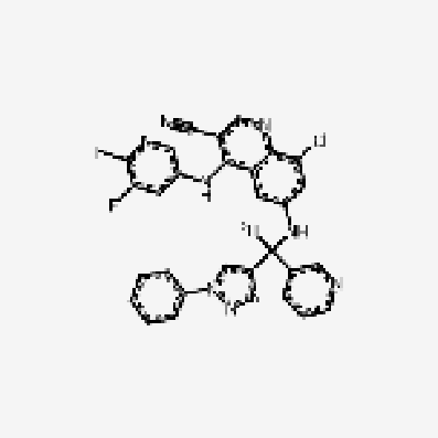 [2H]C(Nc1cc(Cl)c2ncc(C#N)c(Nc3cnc(F)c(F)c3)c2c1)(c1cccnc1)c1cn(-c2ccccc2)nn1